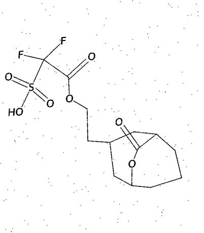 O=C1OC2CCCC1CC(CCOC(=O)C(F)(F)S(=O)(=O)O)C2